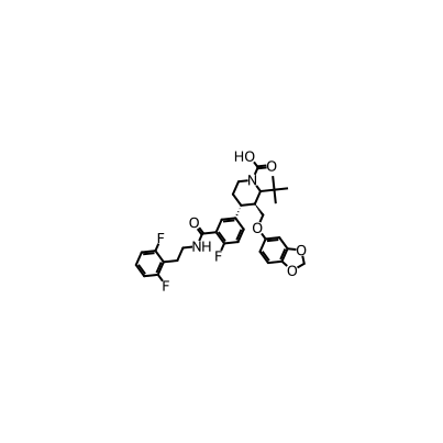 CC(C)(C)C1[C@@H](COc2ccc3c(c2)OCO3)[C@H](c2ccc(F)c(C(=O)NCCc3c(F)cccc3F)c2)CCN1C(=O)O